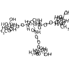 CC(=O)N/C(=C(\O)C(O)CCO)C(O)OCCOCCOCCNC(=O)CCC(CCC(=O)NCCOCCOCCOC(O)/C(NC(C)=O)=C(/O)C(O)CCO)(CCC(=O)NCCOCCOCCOC(O)/C(NC(C)=O)=C(/O)C(O)CCO)NC(C)C